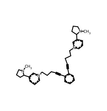 CN1CCCC1c1ccc[n+](CCCC#Cc2ccccc2C#CCCC[n+]2cccc(C3CCCN3C)c2)c1